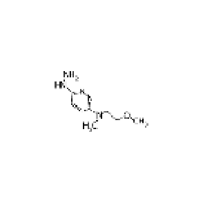 COCCN(C)c1ccc(NN)nn1